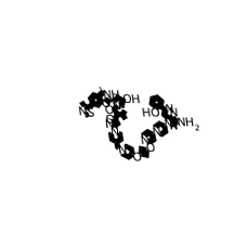 Cc1ncsc1-c1ccc([C@H](C)NC(=O)[C@@H]2C[C@@H](O)CN2C(=O)C(c2cc(N3CCC(CN4CCC(OC5CC(Oc6cc(N7CCC(n8nc(N)c9nnc(-c%10ccccc%10O)cc98)CC7)ccn6)C5)CC4)CC3)no2)C(C)C)cc1